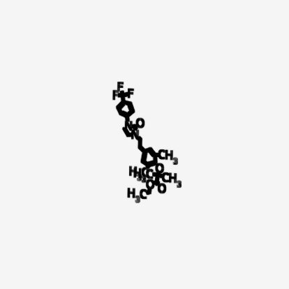 CCOC(=O)C(C)(C)Oc1c(C)cc(CCN2CCN(c3ccc(C(F)(F)F)cc3)C2=O)cc1C